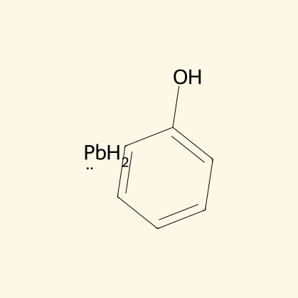 Oc1ccccc1.[PbH2]